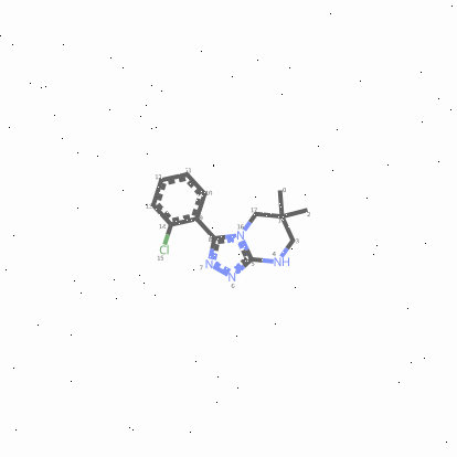 CC1(C)CNc2nnc(-c3ccccc3Cl)n2C1